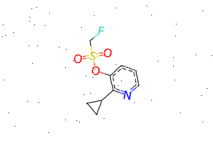 O=S(=O)(CF)Oc1cccnc1C1CC1